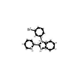 Brc1cccc(-n2c(-c3ccccn3)nc3ccccc32)c1